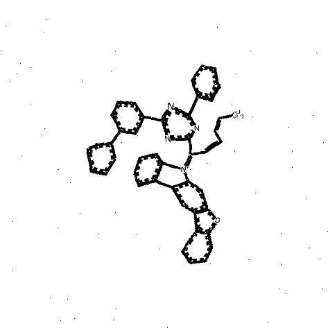 C\C=C/C=C\C(c1nc(-c2ccccc2)nc(-c2cccc(-c3ccccc3)c2)n1)=[N+]1\c2ccccc2-c2cc3c(cc21)oc1ccccc13